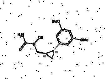 COc1cc(OC)cc([C@@H]2C[C@H]2CN(O)C(N)=O)c1